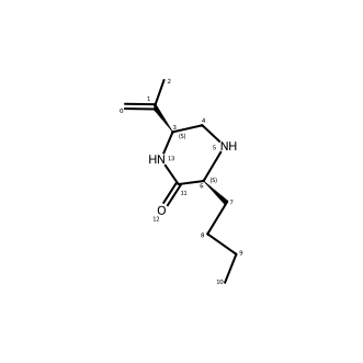 C=C(C)[C@H]1CN[C@@H](CCCC)C(=O)N1